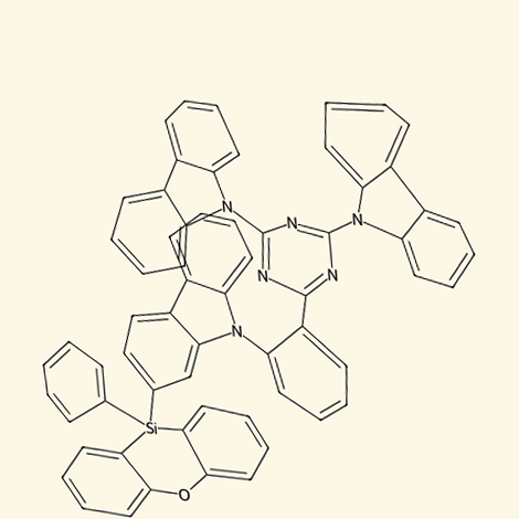 c1ccc([Si]2(c3ccc4c5ccccc5n(-c5ccccc5-c5nc(-n6c7ccccc7c7ccccc76)nc(-n6c7ccccc7c7ccccc76)n5)c4c3)c3ccccc3Oc3ccccc32)cc1